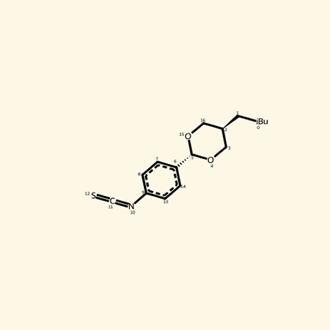 CCC(C)C[C@H]1CO[C@H](c2ccc(N=C=S)cc2)OC1